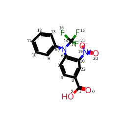 O=C(O)c1ccc(N(c2ccccc2)C(F)(F)F)c([N+](=O)[O-])c1